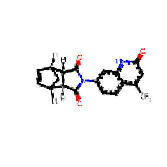 O=C1[C@@H]2[C@H](C(=O)N1c1ccc3c(C(F)(F)F)cc(=O)[nH]c3c1)[C@@H]1C=C[C@H]2C1